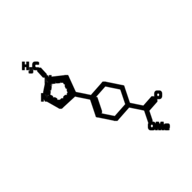 COC(=O)C1CC=C(c2cnn(C)c2)CC1